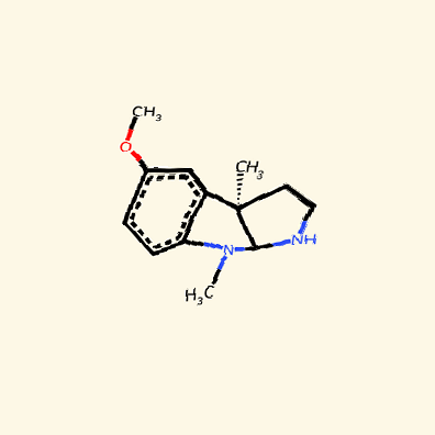 COc1ccc2c(c1)[C@@]1(C)CCNC1N2C